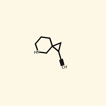 C#CC1CC12CCCNC2